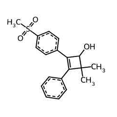 CC1(C)C(c2ccccc2)=C(c2ccc(S(C)(=O)=O)cc2)C1O